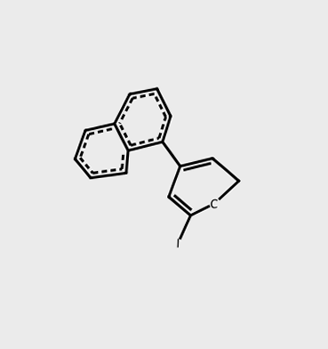 IC1=CC(c2cccc3ccccc23)=CCC1